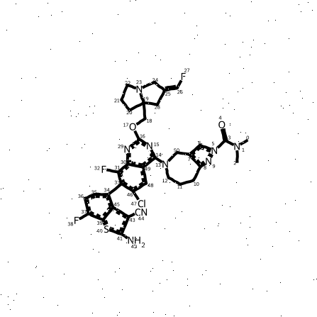 CN(C)C(=O)n1cc2c(n1)CCCN(c1nc(OCC34CCCN3C/C(=C\F)C4)nc3c(F)c(-c4ccc(F)c5sc(N)c(C#N)c45)c(Cl)cc13)C2